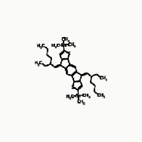 CCCCC(/C=C1/c2cc3c(cc2-c2s[c]([Sn]([CH3])([CH3])[CH3])cc21)/C(=C/C(CC)CCCC)c1c[c]([Sn]([CH3])([CH3])[CH3])sc1-3)CC